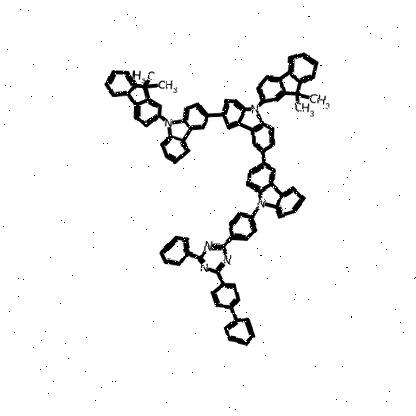 CC1(C)c2ccccc2-c2ccc(-n3c4ccccc4c4cc(-c5ccc6c(c5)c5cc(-c7ccc8c(c7)c7ccccc7n8-c7ccc(-c8nc(-c9ccccc9)nc(-c9ccc(-c%10ccccc%10)cc9)n8)cc7)ccc5n6-c5ccc6c(c5)C(C)(C)c5ccccc5-6)ccc43)cc21